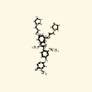 CCCCOc1cc(Oc2ccc(F)c(C(F)(F)F)c2)ccc1-c1nc2c(OCCN3CCCC3)cc(OCCN3CCCC3)cc2n1CCCC